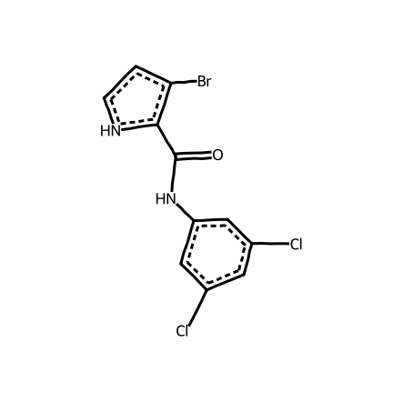 O=C(Nc1cc(Cl)cc(Cl)c1)c1[nH]ccc1Br